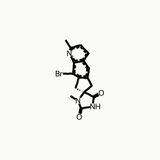 Cc1ccc2cc3c(c(Br)c2n1)C[C@]1(C3)C(=O)NC(=O)N1C